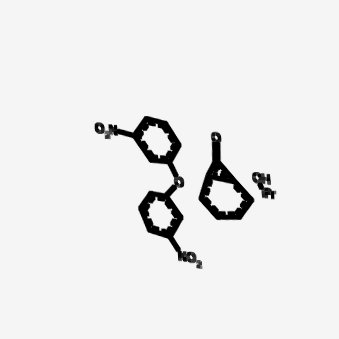 CC(C)O.O=[N+]([O-])c1cccc(Oc2cccc([N+](=O)[O-])c2)c1.O=c1c2ccccc12